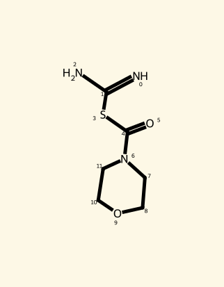 N=C(N)SC(=O)N1CCOCC1